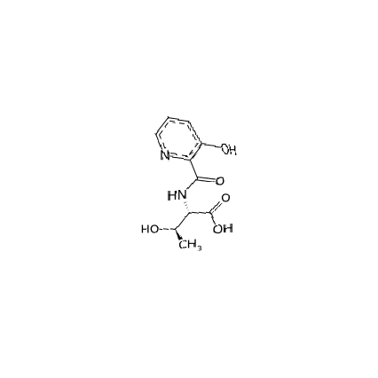 C[C@@H](O)[C@H](NC(=O)c1ncccc1O)C(=O)O